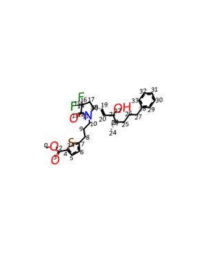 COC(=O)c1ccc(CCCN2C(=O)C(F)(F)C[C@@H]2C=CC(O)[C@@H](C)CCCc2ccccc2)s1